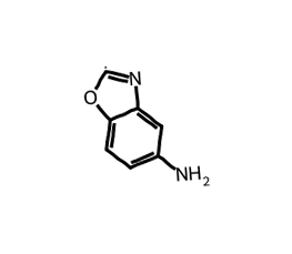 Nc1ccc2o[c]nc2c1